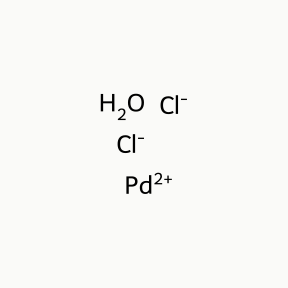 O.[Cl-].[Cl-].[Pd+2]